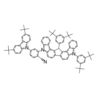 CC(C)(C)c1cc(C2c3c(ccc4c3c3ccccc3n4-c3cc(C(C)(C)C)cc(C(C)(C)C)c3)-c3ccc4c(c32)c2ccccc2n4-c2cc(-n3c4ccc(C(C)(C)C)cc4c4cc(C(C)(C)C)ccc43)ccc2C#N)cc(C(C)(C)C)c1